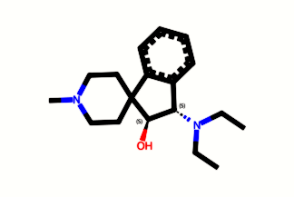 CCN(CC)[C@H]1c2ccccc2C2(CCN(C)CC2)[C@@H]1O